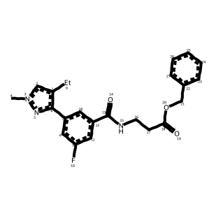 CCc1cn(C)nc1-c1cc(F)cc(C(=O)NCCC(=O)OCc2ccccc2)c1